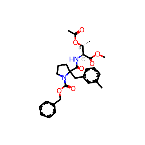 COC(=O)[C@@H](NC(=O)C1(Cc2cccc(C)c2)CCCN1C(=O)OCc1ccccc1)[C@@H](C)OC(C)=O